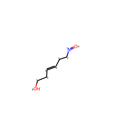 O=NCC/C=C/CCO